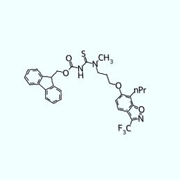 CCCc1c(OCCCN(C)C(=S)NC(=O)OCC2c3ccccc3-c3ccccc32)ccc2c(C(F)(F)F)noc12